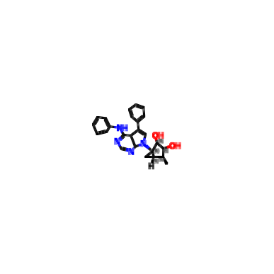 C[C@@H]1[C@H](O)[C@H](O)[C@@]2(N3C=C(c4ccccc4)C4C(Nc5ccccc5)=NC=NC43)C[C@@H]12